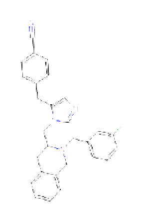 N#Cc1ccc(Cc2cncn2CC2Cc3ccccc3CN2Cc2cccc(Cl)c2)cc1